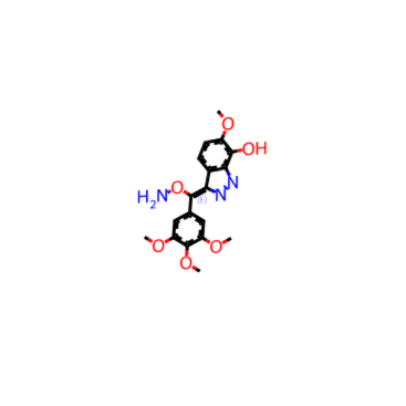 COc1ccc2c(c1O)N=N/C2=C(/ON)c1cc(OC)c(OC)c(OC)c1